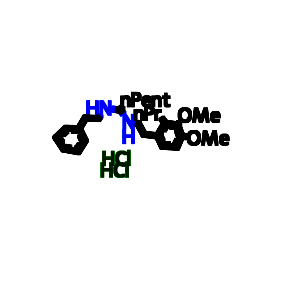 CCCCCC(NCCc1ccccc1)NCCc1ccc(OC)c(OC)c1CCC.Cl.Cl